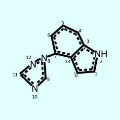 [c]1c[nH]c2cccc(-n3cncn3)c12